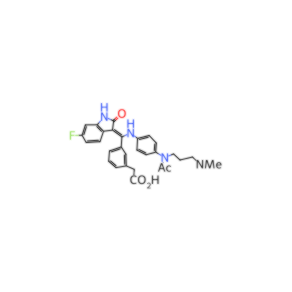 CNCCCN(C(C)=O)c1ccc(N/C(=C2\C(=O)Nc3cc(F)ccc32)c2cccc(CC(=O)O)c2)cc1